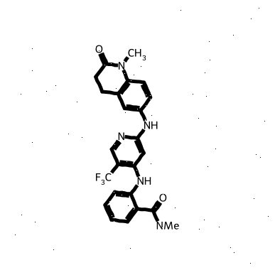 CNC(=O)c1ccccc1Nc1cc(Nc2ccc3c(c2)CCC(=O)N3C)ncc1C(F)(F)F